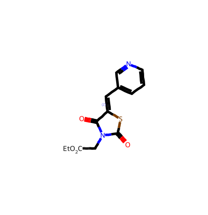 CCOC(=O)CN1C(=O)S/C(=C\c2cccnc2)C1=O